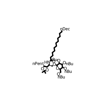 CCCCCCCCCCCCCCCCCCCCCCC(=O)N[C@@H](COC1OC(COCCCC)C(OCCCC)C(OCCCC)C1OCCCC)[C@@H]1OC(C)(C)O[C@@H]1CCCCC